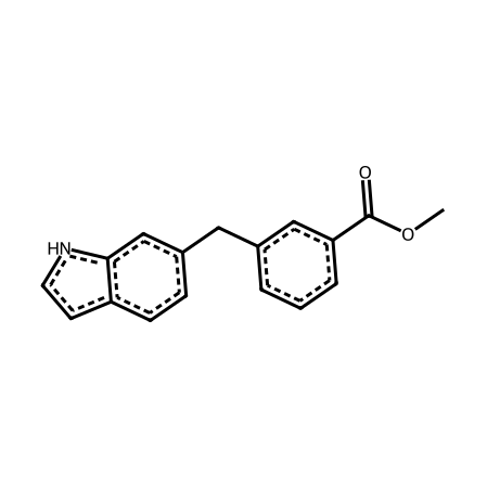 COC(=O)c1cccc(Cc2ccc3cc[nH]c3c2)c1